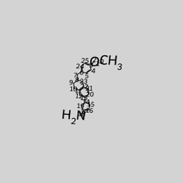 CCOc1ccc(CC2CCc3cc(C4CCC(N)C4)ccc3C2)cc1